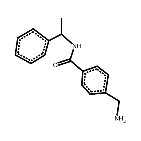 CC(NC(=O)c1ccc(CN)cc1)c1ccccc1